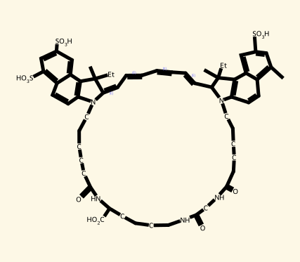 CCC1(C)\C2=C/C=C/C=C/C=C/C3N(CCCCCC(=O)NCC(=O)NCCCCC(C(=O)O)NC(=O)CCCCCN2c2ccc4c(S(=O)(=O)O)cc(S(=O)(=O)O)cc4c21)c1ccc2c(C)cc(S(=O)(=O)O)cc2c1C3(C)CC